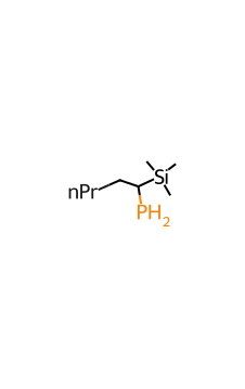 CCCCC(P)[Si](C)(C)C